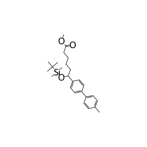 COC(=O)CCCCC(O[Si](C)(C)C(C)(C)C)c1ccc(-c2ccc(C)cc2)cc1